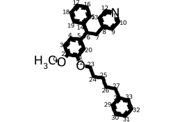 COc1ccc(C(Cc2ccncc2)c2ccccc2)cc1OCCCCCc1ccccc1